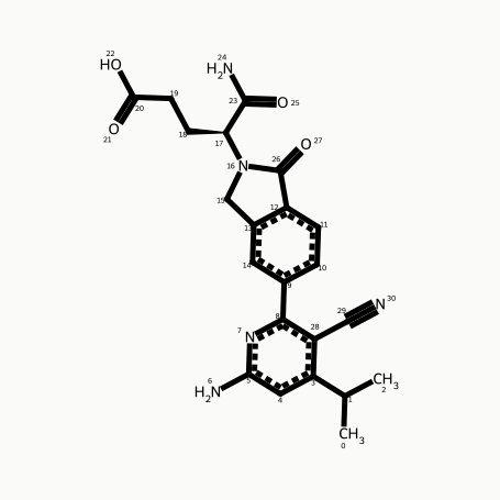 CC(C)c1cc(N)nc(-c2ccc3c(c2)CN([C@@H](CCC(=O)O)C(N)=O)C3=O)c1C#N